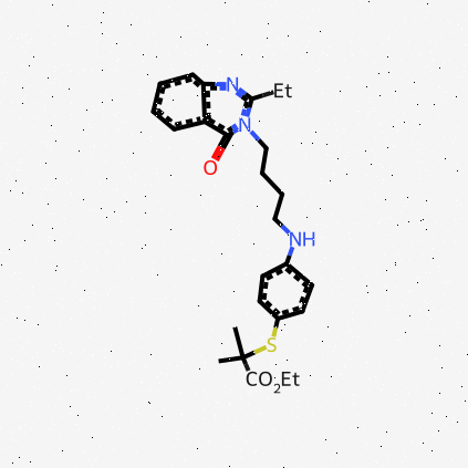 CCOC(=O)C(C)(C)Sc1ccc(NCCCCn2c(CC)nc3ccccc3c2=O)cc1